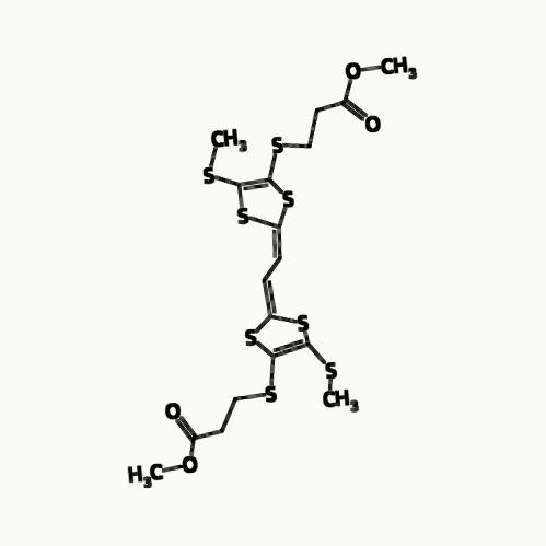 COC(=O)CCSC1=C(SC)SC(=CC=C2SC(SC)=C(SCCC(=O)OC)S2)S1